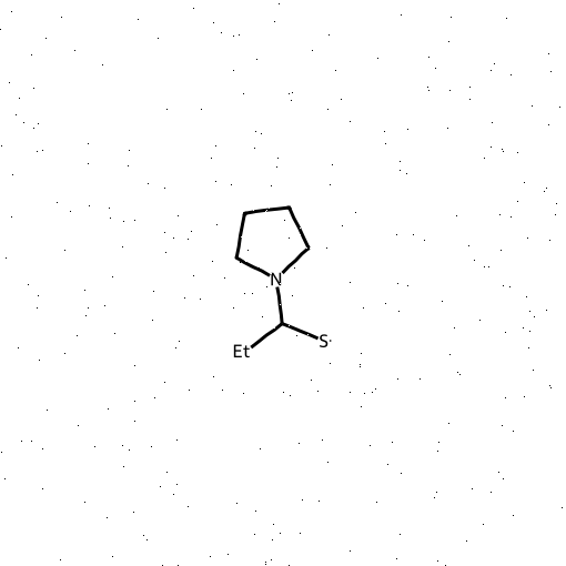 CCC([S])N1CCCC1